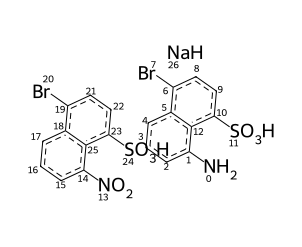 Nc1cccc2c(Br)ccc(S(=O)(=O)O)c12.O=[N+]([O-])c1cccc2c(Br)ccc(S(=O)(=O)O)c12.[NaH]